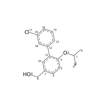 CC(F)Oc1ccc(CO)cc1-c1cccc(Cl)c1